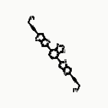 CC(C)CC#Cc1cc2sc(-c3ccc(-c4cc5sc(C#CCC(C)C)cc5s4)c4nsnc34)cc2s1